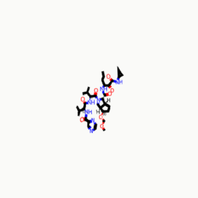 CCCC(NC(=O)[C@@H]1[C@H]2CC[C@@H](OCOC)[C@H]2CN1C(=O)[C@@H](NC(=O)[C@@H](NC(=O)c1cnccn1)C(C)C)C(C)C)C(=O)C(=O)NC1CC1